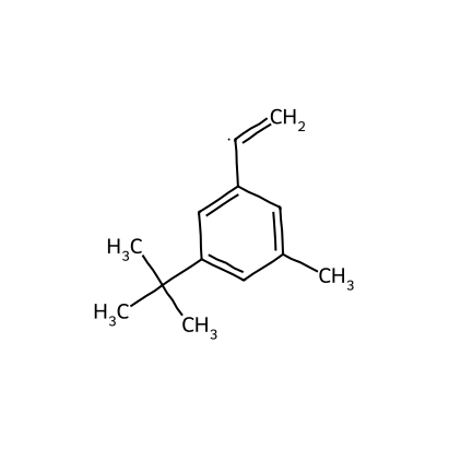 C=[C]c1cc(C)cc(C(C)(C)C)c1